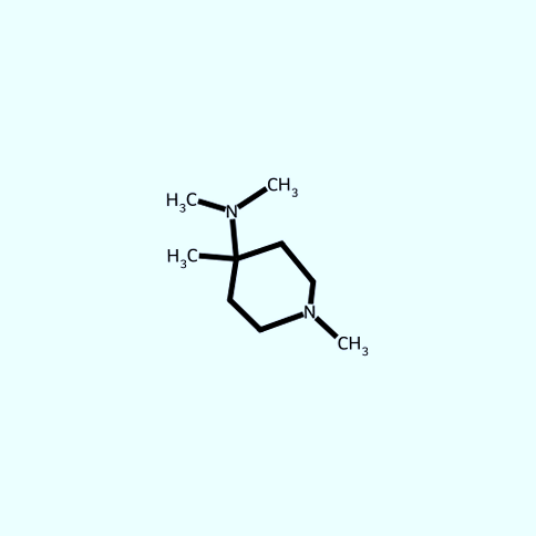 CN1CCC(C)(N(C)C)CC1